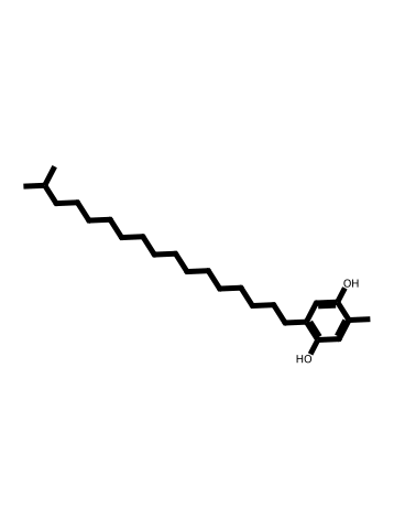 Cc1cc(O)c(CCCCCCCCCCCCCCCC(C)C)cc1O